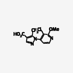 COc1nccc(-n2ncc(C(=O)O)c2C(F)(F)F)c1Cl